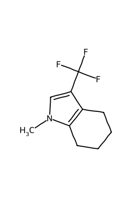 Cn1cc(C(F)(F)F)c2c1CCCC2